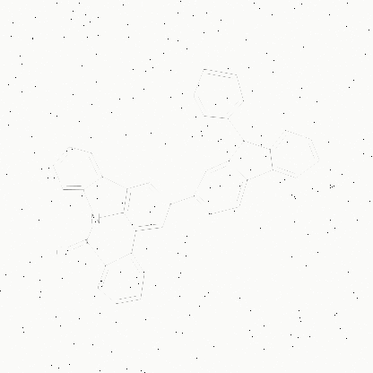 O=c1c2ccccc2c2cc(-c3ccc4c(c3)C(c3ccccc3)c3ccccc3-4)cc3c4ccccc4n1c23